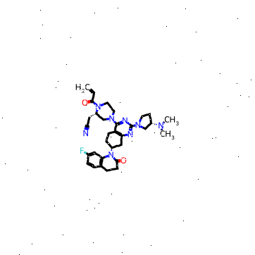 C=CC(=O)N1CCN(c2nc(N3CC[C@H](N(C)C)C3)nc3c2CC[C@@H](N2C(=O)CCc4ccc(F)cc42)C3)C[C@@H]1CC#N